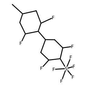 CC1CC(F)C(C2CC(F)C(S(F)(F)(F)(F)F)C(F)C2)C(F)C1